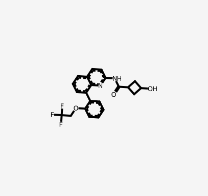 O=C(Nc1ccc2cccc(-c3ccccc3OCC(F)(F)F)c2n1)C1CC(O)C1